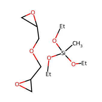 C(OCC1CO1)C1CO1.CCO[Si](C)(OCC)OCC